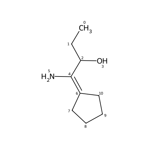 CCC(O)C(N)=C1CCCC1